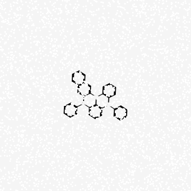 c1ccc(N2c3ccccc3B3c4cc5ccccc5cc4N(c4ccccc4)c4cccc2c43)cc1